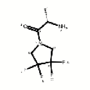 C[C@H](N)C(=O)N1CC(F)(F)C(F)(F)C1